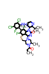 C=CC(=O)N1CC2CSc3c(F)c(-c4c(N)c(Cl)cc(Cl)c4F)c(F)c4c3c(nc(=O)n4-c3c(C)ccnc3C(C)C)N2CC1C